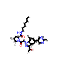 CCCCCCCNC(=O)[C@@H]1C[C@H](C)[C@@H](C)N1C(=O)Cn1nc(C(C)=O)c2cc(-c3cnc(C)nc3)cc(C)c21